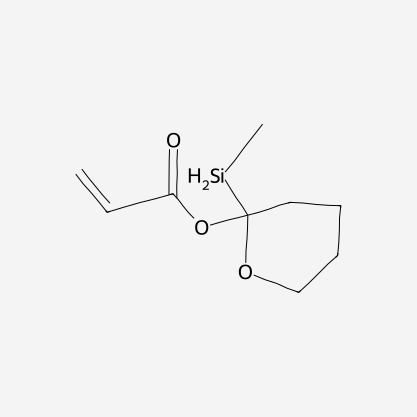 C=CC(=O)OC1([SiH2]C)CCCCO1